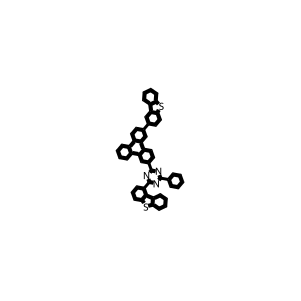 c1ccc(-c2nc(-c3ccc4c5cc(-c6ccc7sc8ccccc8c7c6)ccc5c5ccccc5c4c3)nc(-c3cccc4sc5ccccc5c34)n2)cc1